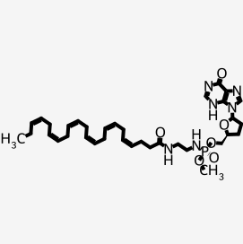 CC/C=C\C/C=C\C/C=C\C/C=C\C/C=C\C/C=C\CCC(=O)NCCNP(=O)(OC)OC[C@@H]1CCC(n2cnc3c(=O)nc[nH]c32)O1